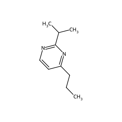 CCCc1ccnc(C(C)C)n1